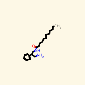 CCCCCCCCCCCC(=O)NCC(CN)c1ccccc1